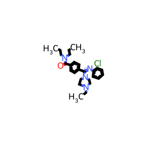 CCCN(CCC)C(=O)c1ccc(/C(=N/c2ccccc2Cl)N2CCN(CC)CC2)cc1